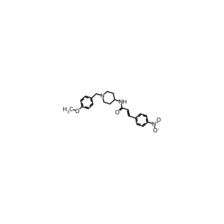 COc1ccc(CN2CCC(NC(=O)C=Cc3ccc([N+](=O)[O-])cc3)CC2)cc1